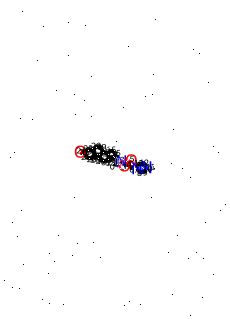 C/C(=N\OC(=O)CN1CCN(C)CC1)C1CCC2C3CCC4=CC(=O)CCC4(C)C3CCC12C